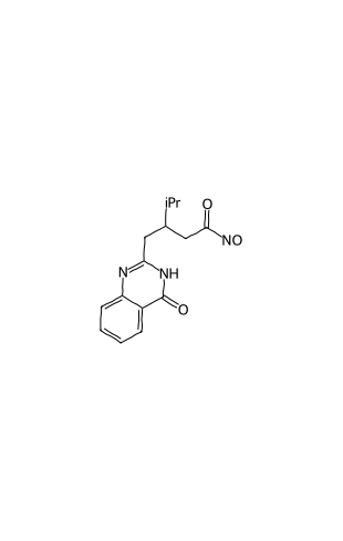 CC(C)C(CC(=O)N=O)Cc1nc2ccccc2c(=O)[nH]1